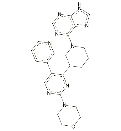 c1cncc(-c2cnc(N3CCOCC3)nc2C2CCCN(c3ncnc4[nH]cnc34)C2)c1